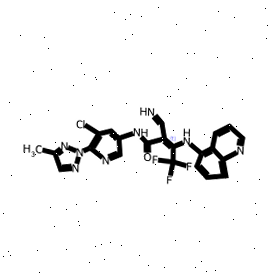 Cc1cnn(-c2ncc(NC(=O)/C(C=N)=C(/Nc3cccc4ncccc34)C(F)(F)F)cc2Cl)n1